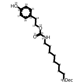 CCCCCCCCCCCCCCCCCCNC(=O)OCCc1ccc(O)cc1